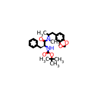 CC(Cc1ccc2c(c1)OCO2)N(C)C(=O)[C@H](Cc1ccccc1)NC(=O)OC(C)(C)C